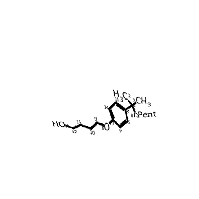 CCCCCC(C)(C)c1ccc(OCCCCO)cc1